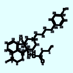 CCCC(=O)O.CN1CCN2c3c(cccc31)[C@@H]1CN(CCCCc3ccc(F)cc3)CC[C@@H]12